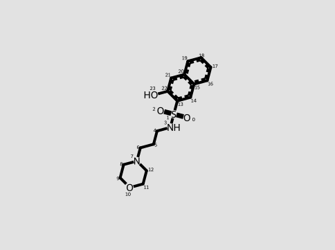 O=S(=O)(NCCCN1CCOCC1)c1cc2ccccc2cc1O